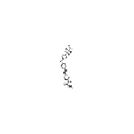 CC(=O)Nc1ccc(N=Nc2ccc(Oc3ccc(C(F)(F)C(F)(F)C(F)F)cc3)cc2)cc1